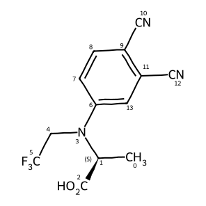 C[C@@H](C(=O)O)N(CC(F)(F)F)c1ccc(C#N)c(C#N)c1